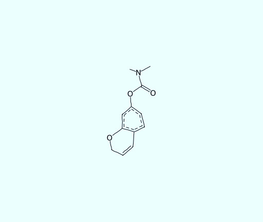 CN(C)C(=O)Oc1ccc2c(c1)OCC=C2